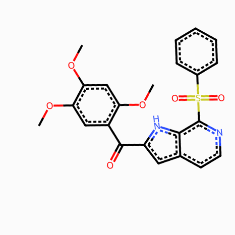 COc1cc(OC)c(C(=O)c2cc3ccnc(S(=O)(=O)c4ccccc4)c3[nH]2)cc1OC